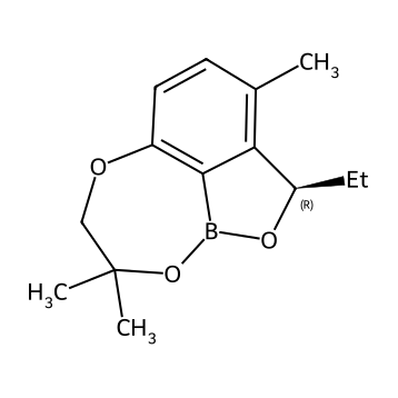 CC[C@H]1OB2OC(C)(C)COc3ccc(C)c1c32